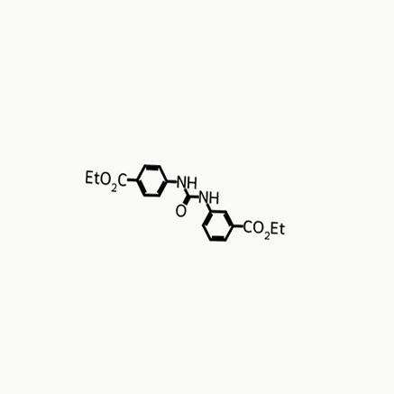 CCOC(=O)c1ccc(NC(=O)Nc2cccc(C(=O)OCC)c2)cc1